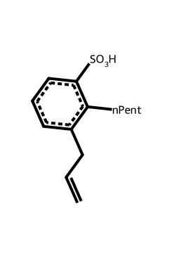 C=CCc1cccc(S(=O)(=O)O)c1CCCCC